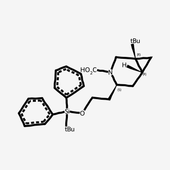 CC(C)(C)[C@@]12C[C@@H]1C[C@@H](CCO[Si](c1ccccc1)(c1ccccc1)C(C)(C)C)N(C(=O)O)C2